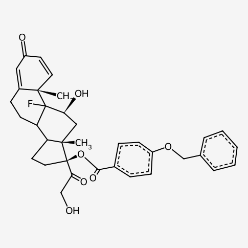 C[C@]12C=CC(=O)C=C1CCC1C3CC[C@@](OC(=O)c4ccc(OCc5ccccc5)cc4)(C(=O)CO)[C@@]3(C)C[C@H](O)C12F